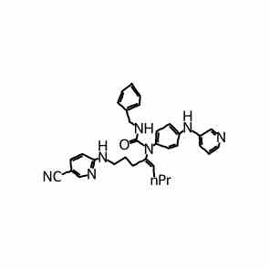 CCC/C=C(\CCCNc1ccc(C#N)cn1)N(C(=O)NCc1ccccc1)c1ccc(Nc2cccnc2)cc1